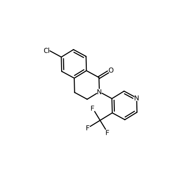 O=C1c2ccc(Cl)cc2CCN1c1cnccc1C(F)(F)F